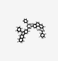 C1=C(c2ccccc2)NC(c2ccc3c(ccc4ccc5c(c43)NC(c3ccccc3)S5)c2)N=C1c1ccc2c3cc4ccccc4cc3n(-c3ccccc3)c2c1